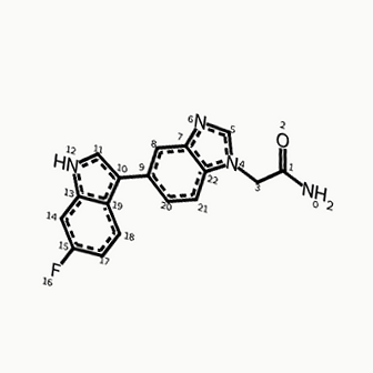 NC(=O)Cn1cnc2cc(-c3c[nH]c4cc(F)ccc34)ccc21